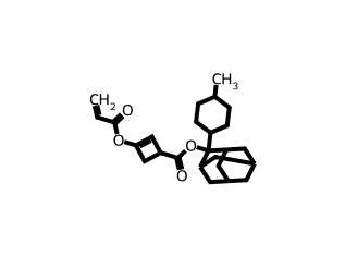 C=CC(=O)OC1=CC(C(=O)OC2(C3CCC(C)CC3)C3CC4CC(C3)CC2C4)C1